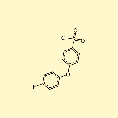 O=S(=O)(Cl)c1ccc(Oc2ccc(F)cc2)cc1